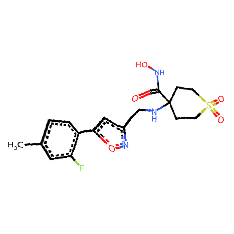 Cc1ccc(-c2cc(CNC3(C(=O)NO)CCS(=O)(=O)CC3)no2)c(F)c1